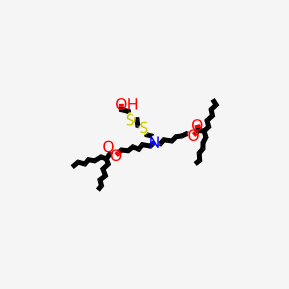 CCCCCCC(CCCCCC)C(=O)OCCCCCCN(CCCCCCOC(=O)C(CCCCCC)CCCCCC)CCSCCSCCO